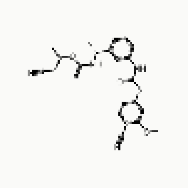 C=C(N[C@H](C)c1cccc(NC(=O)Nc2ccc(C#N)c(OC)c2)c1)OC(C)CC#N